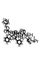 CC(C)c1nc(CN(C)C(=O)N[C@H](C(=O)N[C@@H](Cc2ccccc2)[C@H](O)[C@H](O)[C@H](Cc2ccccc2)NC(=O)OCc2cncs2)C(C)C)cs1